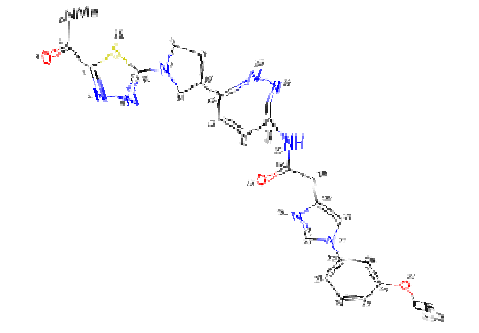 CNC(=O)c1nnc(N2CCC(c3ccc(NC(=O)Cc4cn(-c5cccc(OC(F)(F)F)c5)cn4)nn3)C2)s1